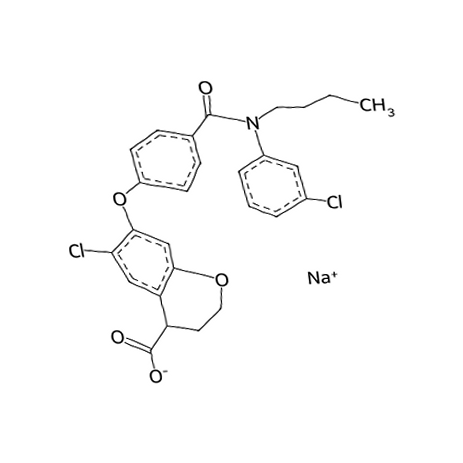 CCCCN(C(=O)c1ccc(Oc2cc3c(cc2Cl)C(C(=O)[O-])CCO3)cc1)c1cccc(Cl)c1.[Na+]